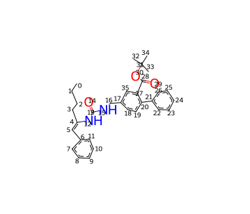 CCCCC(=Cc1ccccc1)NC(=O)NCc1ccc(-c2ccccc2)c(C(=O)OC(C)(C)C)c1